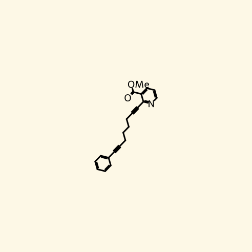 COC(=O)c1cccnc1C#CCCCCC#Cc1ccccc1